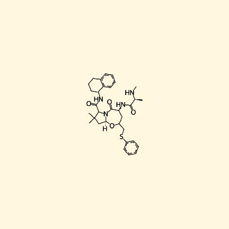 CN[C@@H](C)C(=O)N[C@H]1CC(CSc2ccccc2)O[C@H]2CC(C)(C)C(C(=O)NC3CCCc4ccccc43)N2C1=O